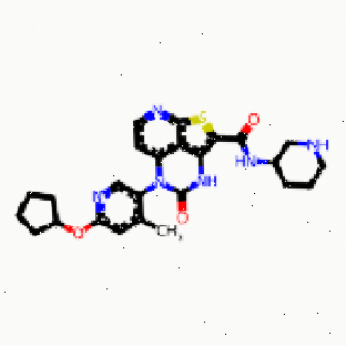 Cc1cc(OC2CCCC2)ncc1N1C(=O)Nc2c(C(=O)N[C@@H]3CCCNC3)sc3nccc1c23